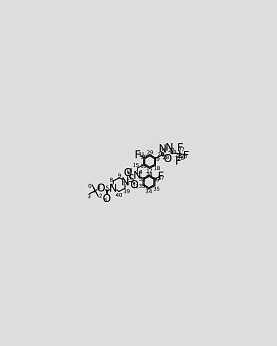 CC(C)(C)OC(=O)N1CCN(S(=O)(=O)N(Cc2ccc(-c3nnc(C(F)(F)F)o3)cc2F)c2cccc(F)c2)CC1